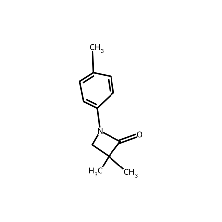 Cc1ccc(N2CC(C)(C)C2=O)cc1